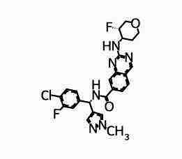 Cn1cc([C@@H](NC(=O)c2ccc3cnc(N[C@@H]4CCOC[C@H]4F)nc3c2)c2ccc(Cl)c(F)c2)cn1